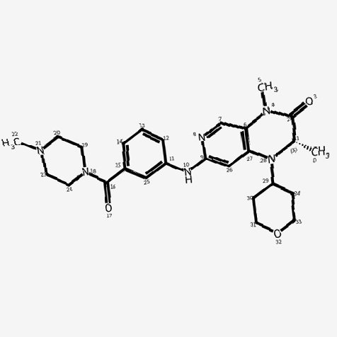 C[C@H]1C(=O)N(C)c2cnc(Nc3cccc(C(=O)N4CCN(C)CC4)c3)cc2N1C1CCOCC1